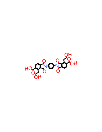 O=C(O)c1ccc2c(c1CCO)C(=O)N(c1ccc(N3C(=O)c4ccc(C(=O)O)c(CCO)c4C3=O)cc1)C2=O